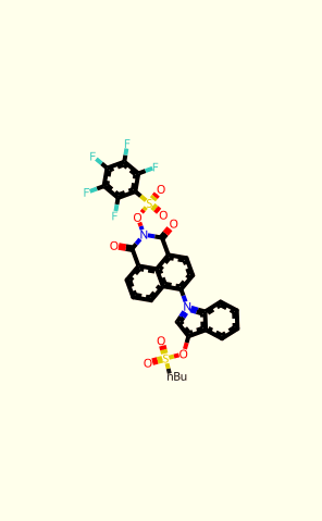 CCCCS(=O)(=O)Oc1cn(-c2ccc3c4c(cccc24)C(=O)N(OS(=O)(=O)c2c(F)c(F)c(F)c(F)c2F)C3=O)c2ccccc12